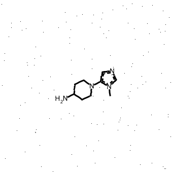 Cn1cncc1N1CCC(N)CC1